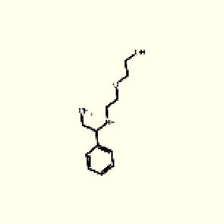 CCC(BCCOCCO)c1ccccc1